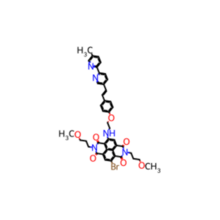 COCCCN1C(=O)c2cc(NCCOc3ccc(/C=C/c4ccc(-c5ccc(C)cn5)nc4)cc3)c3c4c(cc(Br)c(c24)C1=O)C(=O)N(CCCOC)C3=O